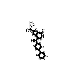 NC(=O)c1cc2c(Nc3ccc(-c4ccccc4)cc3)cnc(Cl)c2s1